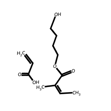 C=CC(=O)O.CC=C(C)C(=O)OCCCCO